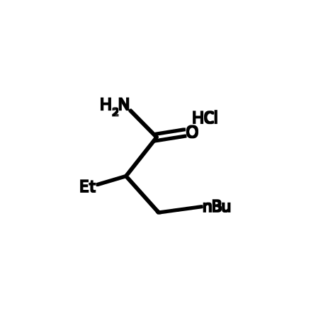 CCCCCC(CC)C(N)=O.Cl